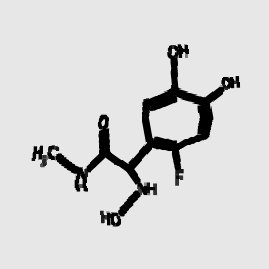 CNC(=O)C(NO)c1cc(O)c(O)cc1F